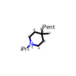 CCCC(C)C1(C)CCN(C(C)C)CC1